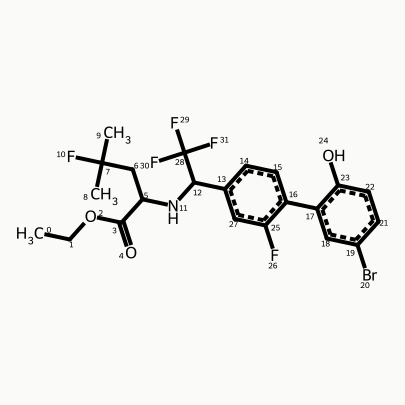 CCOC(=O)C(CC(C)(C)F)NC(c1ccc(-c2cc(Br)ccc2O)c(F)c1)C(F)(F)F